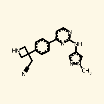 Cn1cc(Nc2nccc(-c3ccc(C4(CC#N)CNC4)cc3)n2)cn1